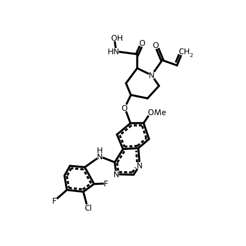 C=CC(=O)N1CCC(Oc2cc3c(Nc4ccc(F)c(Cl)c4F)ncnc3cc2OC)CC1C(=O)NO